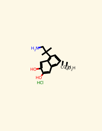 CC(=O)O.CC(=O)O.CC(C)(CN)c1cccc2cc(O)c(O)cc12.Cl